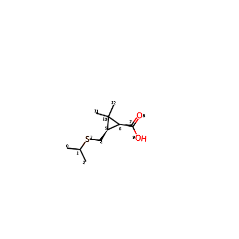 CC(C)SC[C@@H]1[C@H](C(=O)O)C1(C)C